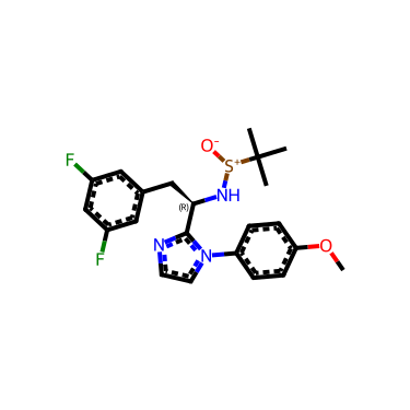 COc1ccc(-n2ccnc2[C@@H](Cc2cc(F)cc(F)c2)N[S+]([O-])C(C)(C)C)cc1